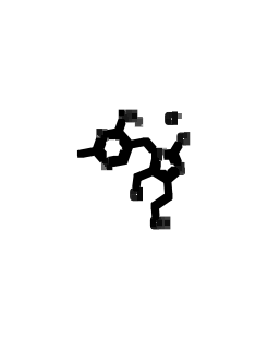 Cc1ncc(C[n+]2c(Cl)sc(CCO)c2CCl)c(N)n1.[Cl-]